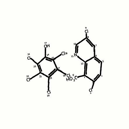 O=C(O)c1c(Cl)ccc2cc(Cl)cnc12.Oc1c(Cl)c(Cl)c(Cl)c(Cl)c1Cl